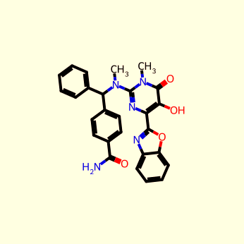 CN(c1nc(-c2nc3ccccc3o2)c(O)c(=O)n1C)C(c1ccccc1)c1ccc(C(N)=O)cc1